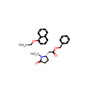 O=C(C[C@@H]1CCC(=O)N1C(=O)O)OCc1ccccc1.O=C(O)COc1cccc2ccccc12